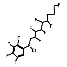 CCP(CC(F)C(F)C(F)C(F)C(F)CCCF)c1cc(F)c(F)c(F)c1F